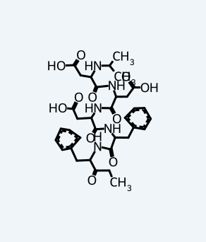 CCC(=O)C(Cc1ccccc1)NC(=O)C(Cc1ccccc1)NC(=O)C(CC(=O)O)NC(=O)C(CC(=O)O)NC(=O)C(CC(=O)O)NC(C)C